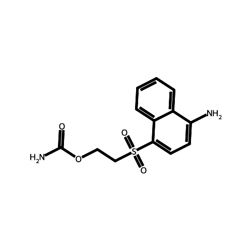 NC(=O)OCCS(=O)(=O)c1ccc(N)c2ccccc12